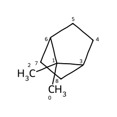 CC1(C)C2CCC1CC2